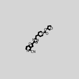 N#Cc1nccc2oc(-c3nc(CC4CCN(C(=O)OC5CCOC5)CC4)no3)cc12